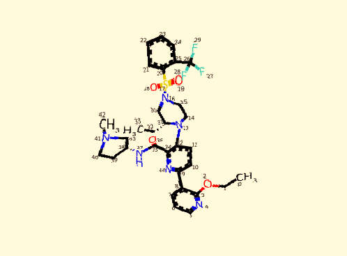 CCOc1ncccc1-c1ccc(N2CCN(S(=O)(=O)c3ccccc3C(F)(F)F)C[C@H]2CC)c(C(=O)N[C@@H]2CCN(C)C2)n1